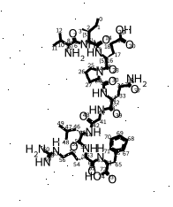 CC[C@H](C)[C@H](NC(=O)[C@@H](N)C(C)C)C(=O)N[C@@H](CCC(=O)O)C(=O)N1CCC[C@H]1C(=O)N[C@@H](CCC(N)=O)C(=O)NCC(=O)N[C@@H](CC(C)C)C(=O)N[C@@H](CCCNC(=N)N)C(=O)N[C@@H](Cc1ccccc1)C(=O)O